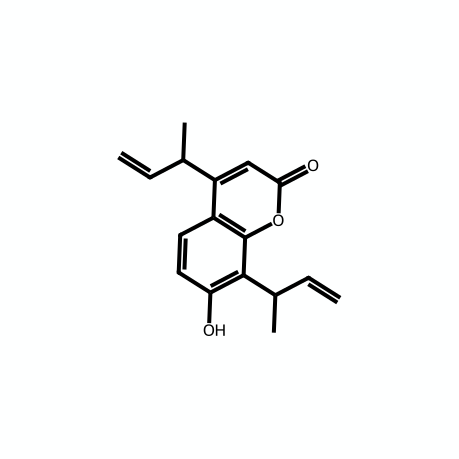 C=CC(C)c1cc(=O)oc2c(C(C)C=C)c(O)ccc12